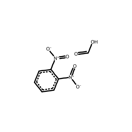 O=CO.O=[N+]([O-])c1ccccc1[N+](=O)[O-]